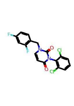 O=c1ccn(Cc2ccc(F)cc2F)c(=O)n1-c1c(Cl)cccc1Cl